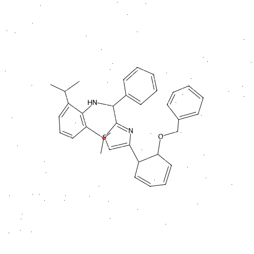 CC(C)c1cccc(C(C)C)c1NC(c1ccccc1)c1nc(C2C=CC=CC2OCc2ccccc2)cs1